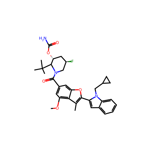 COc1cc(C(=O)N2C[C@H](F)C[C@@H](OC(N)=O)C2C(C)(C)C)cc2oc(-c3cc4ccccc4n3CC3CC3)c(C)c12